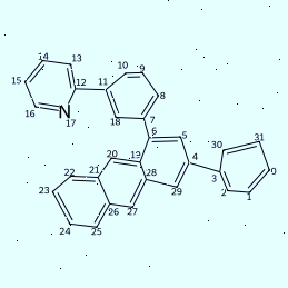 c1ccc(-c2cc(-c3cccc(-c4ccccn4)c3)c3cc4ccccc4cc3c2)cc1